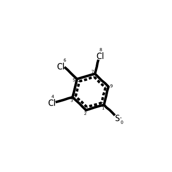 [S]c1cc(Cl)c(Cl)c(Cl)c1